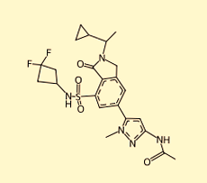 CC(=O)Nc1cc(-c2cc3c(c(S(=O)(=O)NC4CC(F)(F)C4)c2)C(=O)N(C(C)C2CC2)C3)n(C)n1